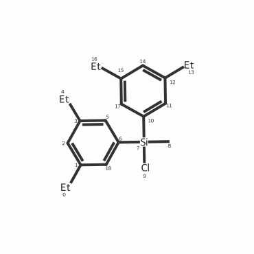 CCc1cc(CC)cc([Si](C)(Cl)c2cc(CC)cc(CC)c2)c1